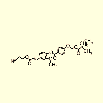 CCC(C)(C)C(=O)OCOc1ccc(C(=O)Oc2ccc(/C=C/C(=O)OCCC#N)cc2OC)cc1